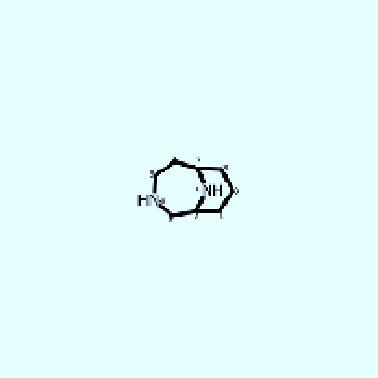 C1C[C]2CNCCC(C1)N2